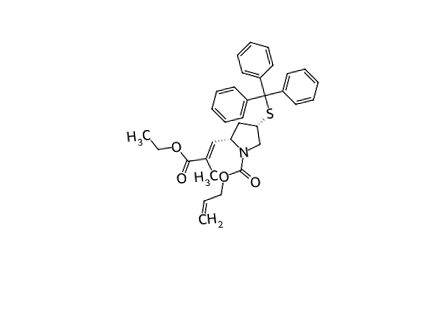 C=CCOC(=O)N1C[C@@H](SC(c2ccccc2)(c2ccccc2)c2ccccc2)C[C@H]1/C=C(\C)C(=O)OCC